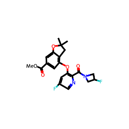 COC(=O)c1cc(Oc2cc(F)cnc2C(=O)N2CC(F)C2)c2c(c1)OC(C)(C)C2